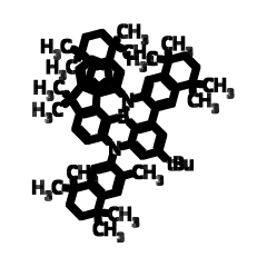 Cc1cc2c(cc1N1c3cc(C(C)(C)C)cc4c3B(c3c1ccc1c3-c3ccccc3C1(C)C)N(c1ccc3c(c1)C(C)(C)CCC3(C)C)c1cc3c(cc1-4)C(C)(C)CCC3(C)C)C(C)(C)CCC2(C)C